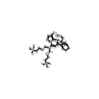 CC(C)(C)OC(=O)N1C2CCC1C(c1cc(N(COCC[Si](C)(C)C)COCC[Si](C)(C)C)n3ncc(I)c3n1)C2